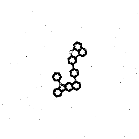 c1ccc(-n2c3ccccc3c3cc4cccc(-c5ccc(-c6ccc7c(c6)-c6cccc8cccc(c68)O7)cc5)c4cc32)cc1